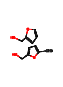 O=Cc1ccc(CO)o1.OCc1ccco1